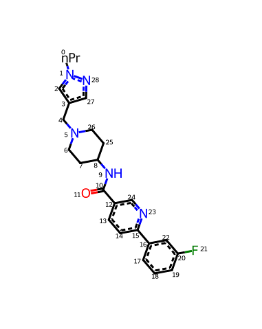 CCCn1cc(CN2CCC(NC(=O)c3ccc(-c4cccc(F)c4)nc3)CC2)cn1